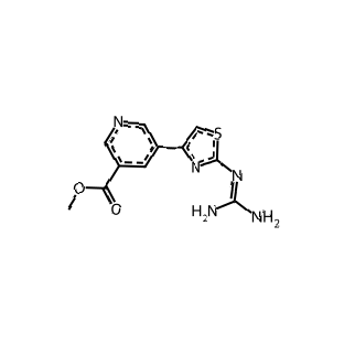 COC(=O)c1cncc(-c2csc(N=C(N)N)n2)c1